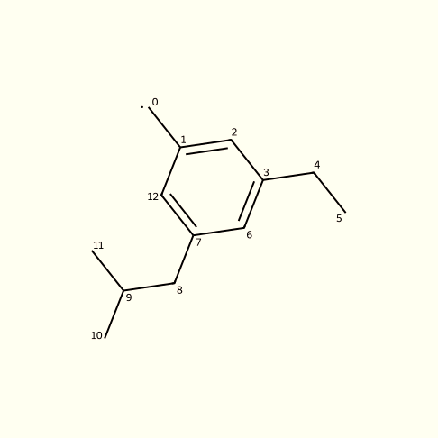 [CH2]c1cc(CC)cc(CC(C)C)c1